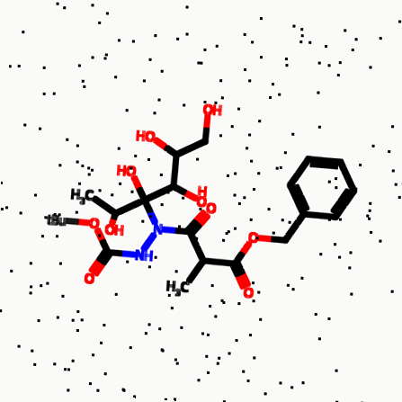 CC(C(=O)OCc1ccccc1)C(=O)N(NC(=O)OC(C)(C)C)C(O)(C(C)O)C(O)C(O)CO